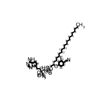 CCCCCCCCCCCCCCCCCCC[C@H](COP(=O)(O)OC[C@](C#N)(CCc1ccc2c(N)ncnn12)OC)Oc1ccc(C#N)c(F)c1